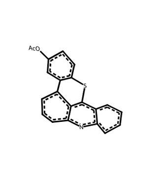 CC(=O)Oc1ccc2c(c1)-c1cccc3nc4ccccc4c(c13)S2